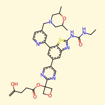 C=C(O)CCC(=O)OC1(c2ncc(-c3cc(-c4cc(CN5CC(C)OC(C)C5)ccn4)c4sc(NC(=O)NCC)nc4c3)cn2)COC1